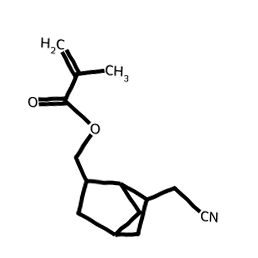 C=C(C)C(=O)OCC1CC2CC(CC#N)C1C2